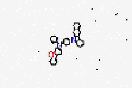 c1ccc(N(c2ccc(-n3c4ccccc4c4cc5ccccc5cc43)cc2)c2ccc3c(c2)oc2ccccc23)cc1